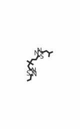 CCc1nnc(CC(C)(C)CCc2nnc(CC(C)C)s2)s1